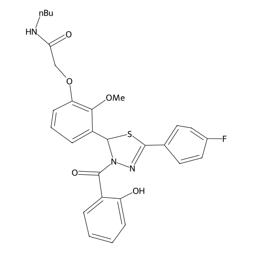 CCCCNC(=O)COc1cccc(C2SC(c3ccc(F)cc3)=NN2C(=O)c2ccccc2O)c1OC